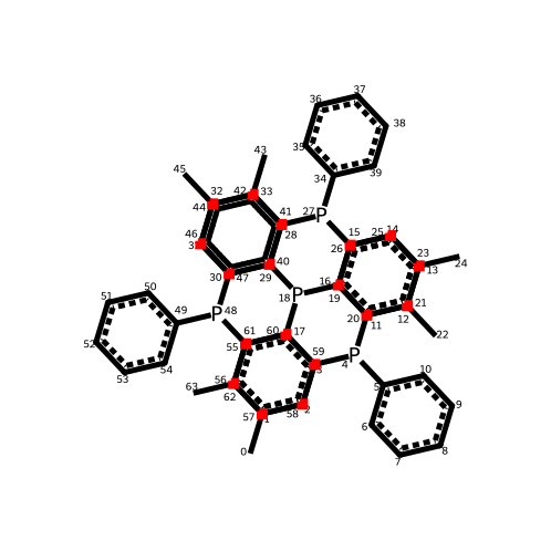 Cc1cc(P(c2ccccc2)c2ccccc2)c(P(c2cc(C)c(C)cc2P(c2ccccc2)c2ccccc2)c2cc(C)c(C)cc2P(c2ccccc2)c2ccccc2)cc1C